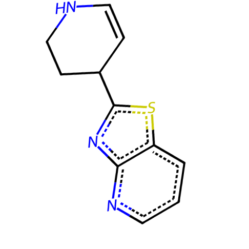 C1=CC(c2nc3ncccc3s2)CCN1